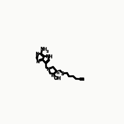 C#CCCCCSC[C@H]1CN(Cc2c[nH]c3c(N)ncnc23)C[C@@H]1O